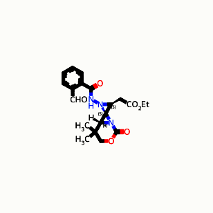 CCOC(=O)C[C@@H]1N(NC(=O)c2ccccc2C=O)[C@@]12[C@@H]1N2C(=O)OCC1(C)C